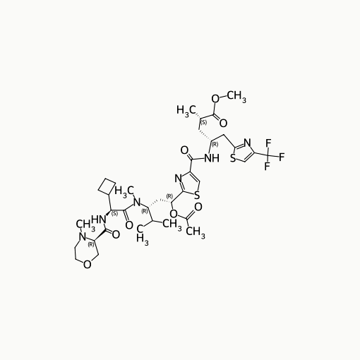 COC(=O)[C@@H](C)C[C@H](Cc1nc(C(F)(F)F)cs1)NC(=O)c1csc([C@@H](C[C@H](C(C)C)N(C)C(=O)[C@@H](NC(=O)[C@H]2COCCN2C)C2CCC2)OC(C)=O)n1